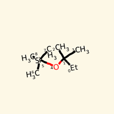 CCC(C)(C)O[Si](C)(C)C